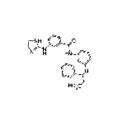 O=C(O)CC(Oc1cccc(NC(=O)c2cccc(NC3=NCCN3)c2)c1)c1cccnc1